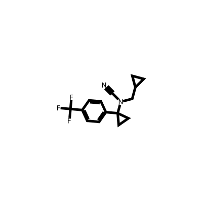 N#CN(CC1CC1)C1(c2ccc(C(F)(F)F)cc2)[CH]C1